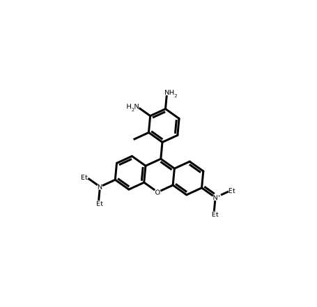 CCN(CC)c1ccc2c(-c3ccc(N)c(N)c3C)c3ccc(=[N+](CC)CC)cc-3oc2c1